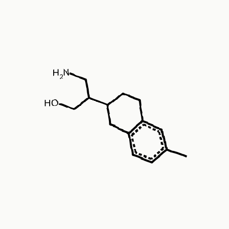 Cc1ccc2c(c1)CCC(C(CN)CO)C2